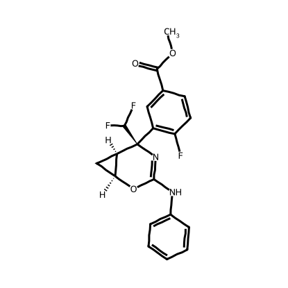 COC(=O)c1ccc(F)c([C@]2(C(F)F)N=C(Nc3ccccc3)O[C@H]3C[C@H]32)c1